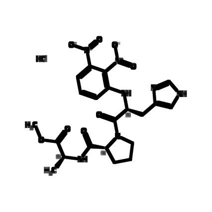 COC(=O)[C@H](C)NC(=O)[C@@H]1CCCN1C(=O)[C@H](Cc1c[nH]cn1)Nc1cccc([N+](=O)[O-])c1[N+](=O)[O-].Cl